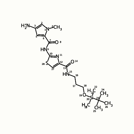 Cn1cc(N)cc1C(=O)Nc1nc(C(=O)NCCCO[Si](C)(C)C(C)(C)C)cs1